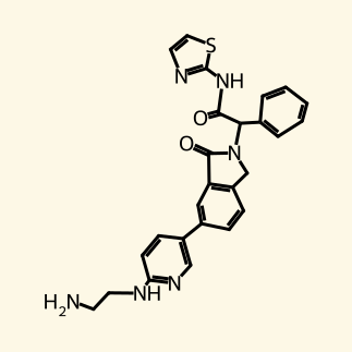 NCCNc1ccc(-c2ccc3c(c2)C(=O)N(C(C(=O)Nc2nccs2)c2ccccc2)C3)cn1